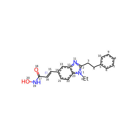 CCn1c(CCc2ccccc2)nc2cc(/C=C/C(=O)NO)ccc21